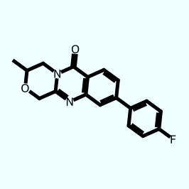 CC1Cn2c(nc3cc(-c4ccc(F)cc4)ccc3c2=O)CO1